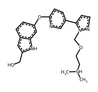 C[SiH](C)CCOCn1nccc1-c1ccc(Oc2ccc3cc(CO)[nH]c3c2)nc1